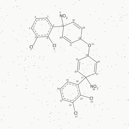 O=[N+]([O-])C1(c2cccc(Cl)c2Cl)C=CC(OC2C=CC(c3cccc(Cl)c3Cl)([N+](=O)[O-])C=C2)C=C1